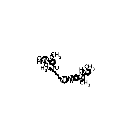 COc1cc2nn(C3CCCN(CCCCCN(C)C(=O)c4ccc(OC)c(N5CCC(=O)NC5=O)c4)CC3)cc2cc1NC(=O)c1cccc(C)n1